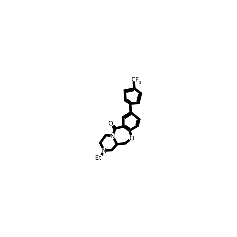 CCN1CCN2C(=O)c3cc(-c4ccc(C(F)(F)F)cc4)ccc3OCC2C1